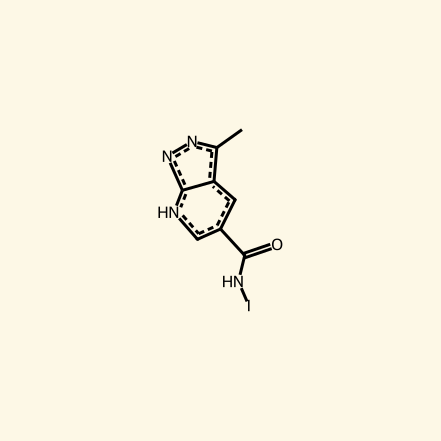 Cc1nnc2[nH]cc(C(=O)NI)cc1-2